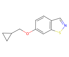 c1cc2cnsc2cc1OCC1CC1